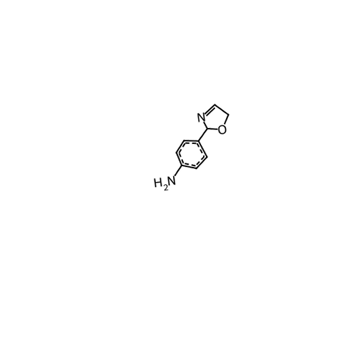 Nc1ccc(C2N=CCO2)cc1